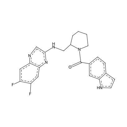 O=C(c1ccc2cc[nH]c2c1)N1CCCCC1CNc1cnc2cc(F)c(F)cc2n1